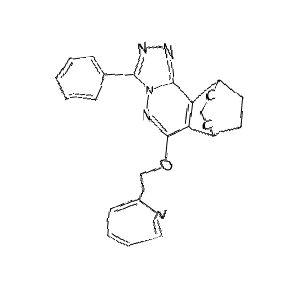 c1ccc(-c2nnc3c4c(c(OCc5ccccn5)nn23)C2CCCC4CC2)cc1